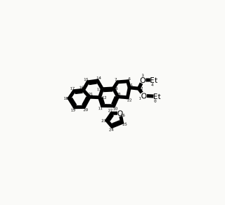 CCOC(OCC)C1CCc2c(ccc3c2ccc2ccccc23)C1.c1ccoc1